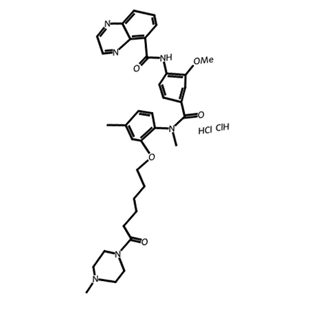 COc1cc(C(=O)N(C)c2ccc(C)cc2OCCCCCC(=O)N2CCN(C)CC2)ccc1NC(=O)c1cccc2nccnc12.Cl.Cl